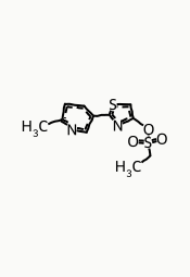 CCS(=O)(=O)Oc1csc(-c2ccc(C)nc2)n1